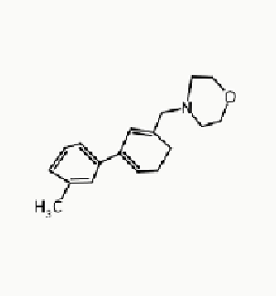 Cc1cccc(C2=CCCC(CN3CCOCC3)=C2)c1